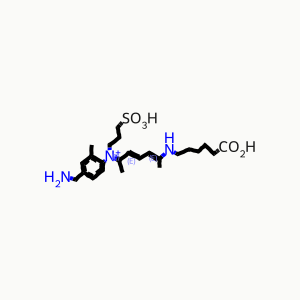 C\C(=C/C=C/C(C)=[N+](\CCCS(=O)(=O)O)c1ccc(CN)cc1C)NCCCCCC(=O)O